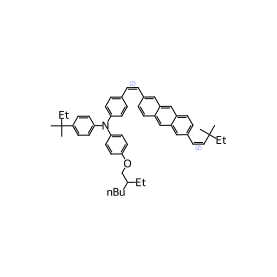 CCCCC(CC)COc1ccc(N(c2ccc(/C=C\c3ccc4cc5cc(/C=C\C(C)(C)CC)ccc5cc4c3)cc2)c2ccc(C(C)(C)CC)cc2)cc1